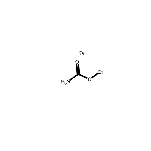 CCOC(N)=O.[Fe]